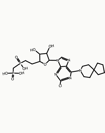 O=P(O)(O)CP(=O)(O)CCC1OC(n2cnc3c(N4CCC5(CCCC5)CC4)nc(Cl)nc32)C(O)C1O